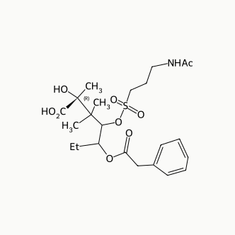 CCC(OC(=O)Cc1ccccc1)C(OS(=O)(=O)CCCNC(C)=O)C(C)(C)[C@@](C)(O)C(=O)O